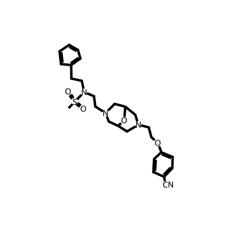 CS(=O)(=O)N(CCc1ccccc1)CCN1CC2CN(CCOc3ccc(C#N)cc3)CC(C1)O2